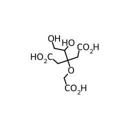 O=C(O)COC(CC(=O)O)(CC(=O)O)C(O)CO